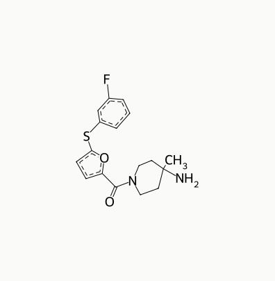 CC1(N)CCN(C(=O)c2ccc(Sc3cccc(F)c3)o2)CC1